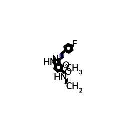 C=CCNC(=O)c1ccc2[nH]nc(/C=C/c3ccc(F)cc3)c2c1OC